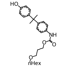 CCCCCCOCCCOC(=O)Nc1ccc(C(C)(C)c2ccc(O)cc2)cc1